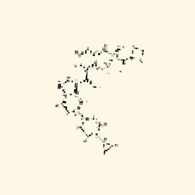 CN(C1CCC1)S(=O)(=O)Nc1cccc(C(=O)c2c[nH]c3ncc(-c4cnc(C5CC5)nc4)cc23)c1F